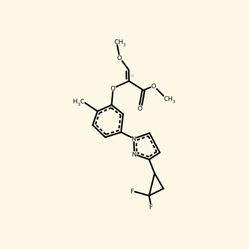 CO/C=C(\Oc1cc(-n2ccc(C3CC3(F)F)n2)ccc1C)C(=O)OC